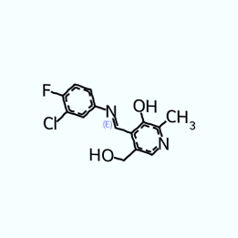 Cc1ncc(CO)c(/C=N/c2ccc(F)c(Cl)c2)c1O